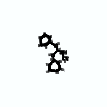 N#CNC(Oc1ccccc1)Oc1ccccc1